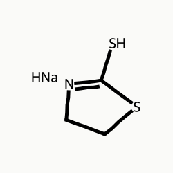 SC1=NCCS1.[NaH]